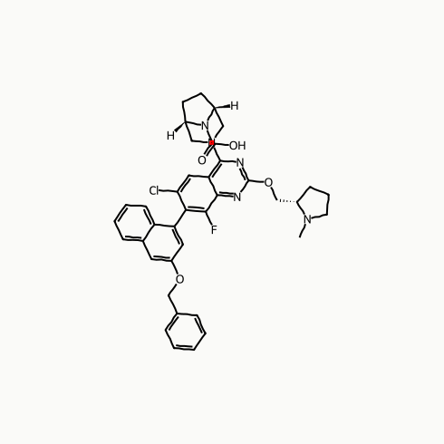 CN1CCC[C@H]1COc1nc(N2C[C@H]3CC[C@@H](C2)N3C(=O)O)c2cc(Cl)c(-c3cc(OCc4ccccc4)cc4ccccc34)c(F)c2n1